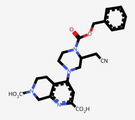 N#CCC1CN(c2cc(C(=O)O)nc3c2CCN(C(=O)O)C3)CCN1C(=O)OCc1ccccc1